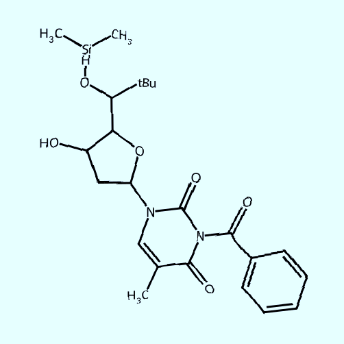 Cc1cn(C2CC(O)C(C(O[SiH](C)C)C(C)(C)C)O2)c(=O)n(C(=O)c2ccccc2)c1=O